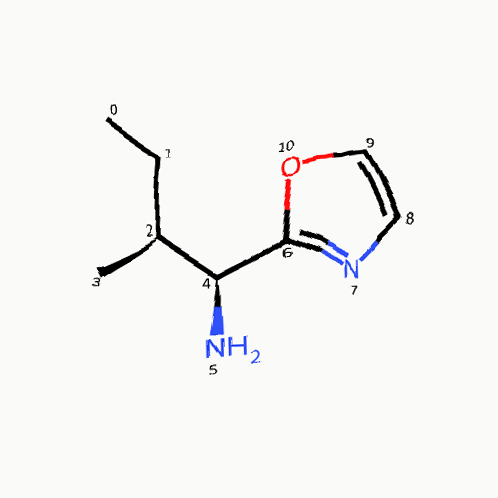 CC[C@H](C)[C@H](N)c1ncco1